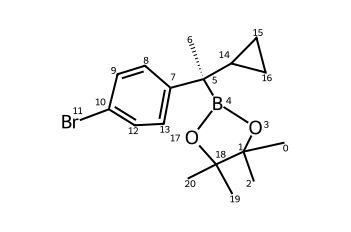 CC1(C)OB([C@@](C)(c2ccc(Br)cc2)C2CC2)OC1(C)C